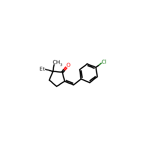 CCC1(C)CCC(=Cc2ccc(Cl)cc2)C1=O